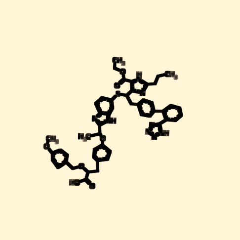 CCCc1nc(C(Cc2ccc(-c3ccccc3-c3nnn[nH]3)cc2)Sc2ccc3nc(C(C)Oc4ccc(CC(OCc5ccc(OC)cc5)C(=O)O)cc4)[nH]c3c2)c(C(=O)OCC)[nH]1